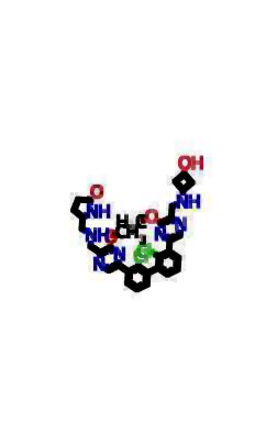 COc1nc(-c2cccc(-c3cccc(-c4cnc(CNC5CC(O)C5)c(OC)n4)c3Cl)c2Cl)cnc1CNCC1CCC(=O)N1